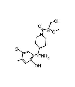 CO[C@H](CO)C(=O)N1CCC([C@@H](N)c2cc(Cl)c(C)cc2O)CC1